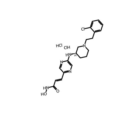 Cl.Cl.O=C(C=Cc1cnc(N[C@@H]2CCCN(CCc3ccccc3Cl)C2)cn1)NO